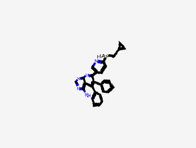 Nc1ncnc2nc(-c3ccc([AsH]CC4CC4)nc3)c(-c3ccccc3)c(-c3ccccc3)c12